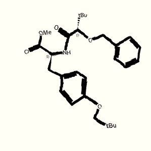 COC(=O)[C@H](Cc1ccc(OCC(C)(C)C)cc1)NC(=O)[C@@H](OCc1ccccc1)C(C)(C)C